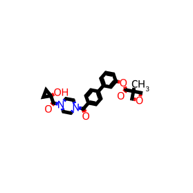 CC1(C(=O)Oc2cccc(-c3ccc(C(=O)N4CCN(C(=O)C5(O)CC5)CC4)cc3)c2)COC1